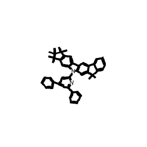 CC1(C)c2ccccc2-c2cc3c4cc5c(cc4n(-c4cc(-c6ccccc6)cc(-c6ccccc6)n4)c3cc21)C(C)(C)C(C)(C)C5(C)C